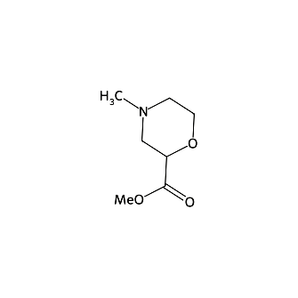 COC(=O)C1CN(C)CCO1